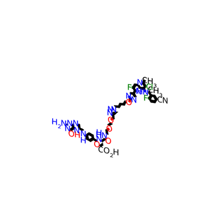 Cc1nc2cc(F)c(-c3cnc(OCCCCCn4cc(COCCOCCNC(=O)[C@H](CCC(=O)O)NC(=O)c5ccc(NCc6cnc7nc(N)nc(O)c7n6)cc5)nn4)nc3)nc2c(N[C@H](C)c2cc(C#N)ccc2F)c1Cl